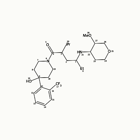 CCC(CC(C(=O)N1CCC(O)(c2ccccc2C(F)(F)F)CC1)C(C)C)NC1CCOCC1OC